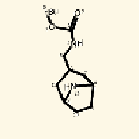 CC(C)(C)OC(=O)NCC1CC2CCC(C1)N2